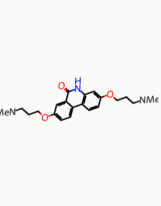 CNCCCOc1ccc2c(c1)[nH]c(=O)c1cc(OCCCNC)ccc12